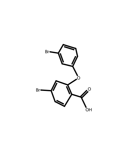 O=C(O)c1ccc(Br)cc1Oc1cccc(Br)c1